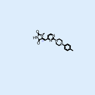 Cc1ccc(N2CCN(c3nccc(/C=C4/C(=O)NC(=O)N4C)n3)CC2)cc1